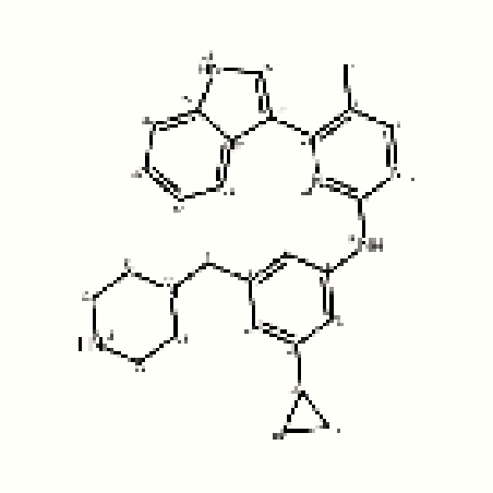 Cc1cnc(Nc2cc(CN3CCNCC3)cc(C3CC3)c2)nc1-c1c[nH]c2ccccc12